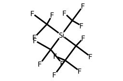 FC(F)(F)C(F)(F)[Si](C(F)(F)F)(C(F)(F)F)C(F)(F)F